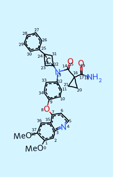 COc1cc2nccc(Oc3ccc(N(C(=O)C4(C(N)=O)CC4)C45CC(c6ccccc6)(C4)C5)cc3)c2cc1OC